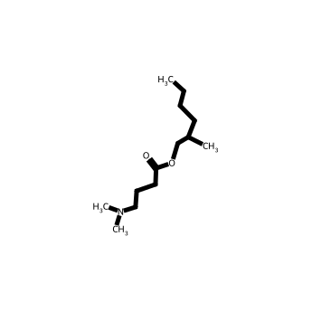 CCCCC(C)COC(=O)CCCN(C)C